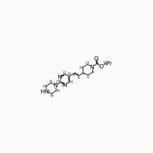 CC(C)OC(=O)N1CCC(/C=C/c2cnc(N3CCNCC3)nc2)CC1